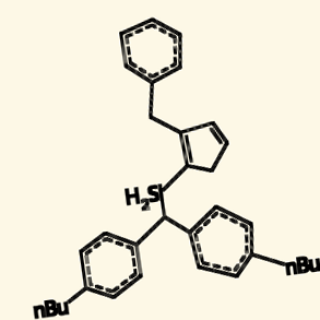 CCCCc1ccc(C([SiH2]C2=C(Cc3ccccc3)C=CC2)c2ccc(CCCC)cc2)cc1